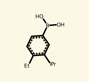 CCc1ccc(B(O)O)cc1C(C)C